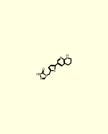 O=c1[nH]ncn1Cc1ccc(-c2cnc3c(c2)CCCN3)s1